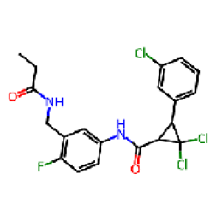 CCC(=O)NCc1cc(NC(=O)C2C(c3cccc(Cl)c3)C2(Cl)Cl)ccc1F